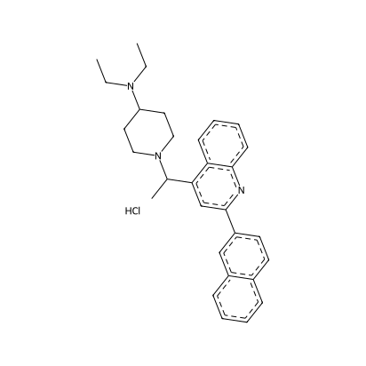 CCN(CC)C1CCN(C(C)c2cc(-c3ccc4ccccc4c3)nc3ccccc23)CC1.Cl